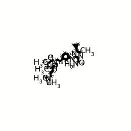 Cc1nc(C(N)=O)c(Nc2cccc(CCNC(=O)C(C)N(C)C(=O)/C=C/CN(C)C)c2)nc1C1CC1